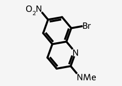 CNc1ccc2cc([N+](=O)[O-])cc(Br)c2n1